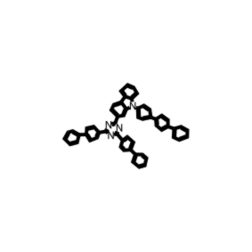 c1ccc(-c2ccc(-c3ccc(-n4c5ccccc5c5ccc(-c6nc(-c7ccc(-c8ccccc8)cc7)nc(-c7ccc(-c8ccccc8)cc7)n6)cc54)cc3)cc2)cc1